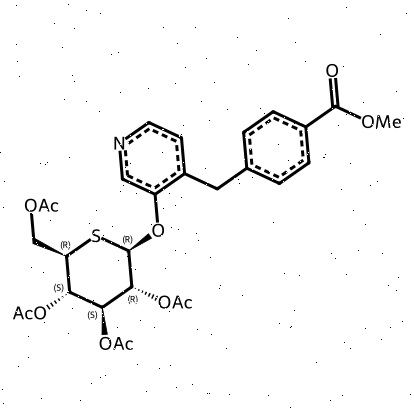 COC(=O)c1ccc(Cc2ccncc2O[C@@H]2S[C@H](COC(C)=O)[C@@H](OC(C)=O)[C@H](OC(C)=O)[C@H]2OC(C)=O)cc1